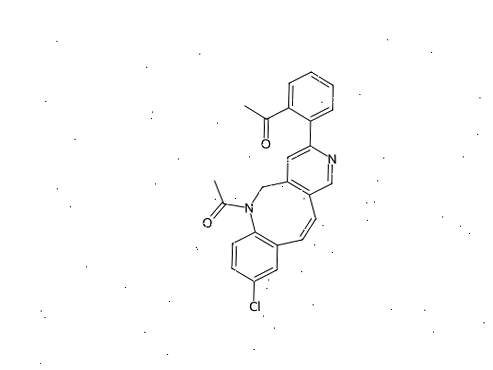 CC(=O)c1ccccc1-c1cc2c(cn1)/C=C\c1cc(Cl)ccc1N(C(C)=O)C2